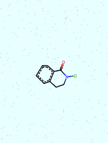 O=C1c2ccccc2CCN1Cl